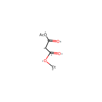 CCOC(=O)CC(=O)OC(C)=O